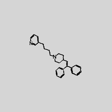 C(=C(c1ccccc1)c1ccccc1)C1CCN(CCCCc2cccnc2)CC1